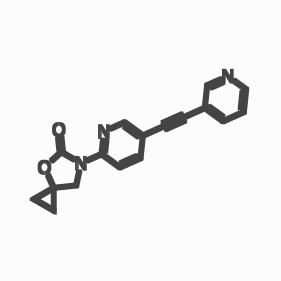 O=C1OC2(CC2)CN1c1ccc(C#Cc2cccnc2)cn1